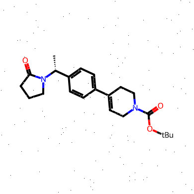 C[C@H](c1ccc(C2=CCN(C(=O)OC(C)(C)C)CC2)cc1)N1CCCC1=O